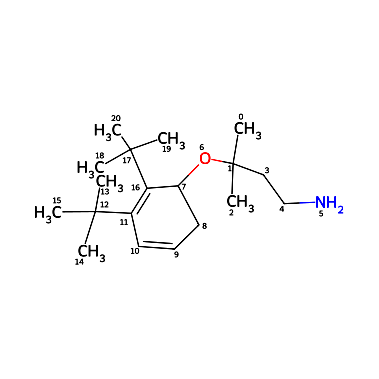 CC(C)(CCN)OC1CC=CC(C(C)(C)C)=C1C(C)(C)C